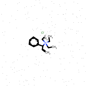 C=CC(c1ccccc1)[N+](CC)(CC)CC.[Cl-]